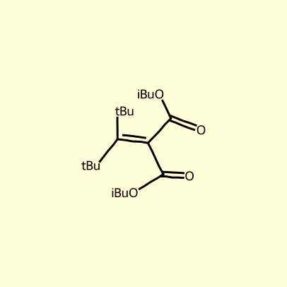 CC(C)COC(=O)C(C(=O)OCC(C)C)=C(C(C)(C)C)C(C)(C)C